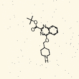 CC(C)(C)OC(=O)c1nc(OCC2CCNCC2)c2ccccc2n1